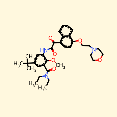 CCN(CC)C(=O)c1cc(C(C)(C)C)cc(NC(=O)C(=O)c2ccc(OCCN3CCOCC3)c3ccccc23)c1OC